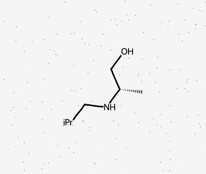 CC(C)CN[C@@H](C)CO